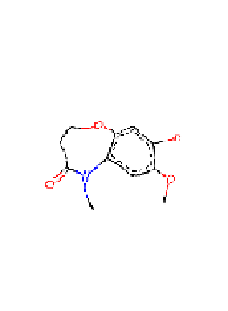 COc1cc2c(cc1OC)N(C)C(=O)CCO2